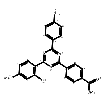 COC(=O)c1ccc(-c2nc(-c3ccc(N)cc3)nc(-c3ccc(OC)cc3O)n2)cc1